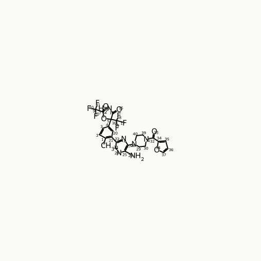 Cc1ccc(C(OC(=O)C(F)(F)F)(C(N)=O)C(F)(F)F)cc1-c1cnc(N)c(N2CCN(C(=O)c3ccco3)CC2)n1